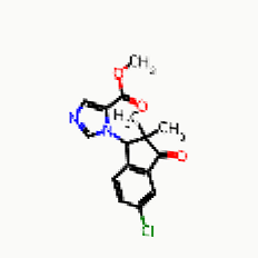 COC(=O)c1cncn1C1c2ccc(Cl)cc2C(=O)C1(C)C